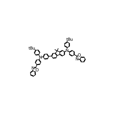 CC(C)(C)c1ccc(N(c2ccc(-c3ccc4c(c3)C(C)(C)c3cc(N(c5ccc(-c6nc7ccccc7o6)cc5)c5ccc(C(C)(C)C)cc5)ccc3-4)cc2)c2ccc(-c3nc4ccccc4o3)cc2)cc1